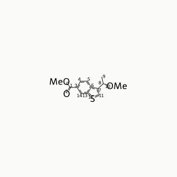 COC(=O)c1ccc2c(C(C)OC)csc2c1